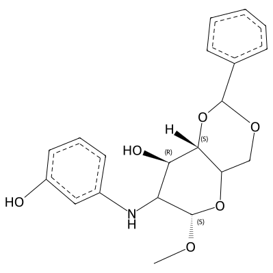 CO[C@H]1OC2COC(c3ccccc3)O[C@H]2[C@H](O)C1Nc1cccc(O)c1